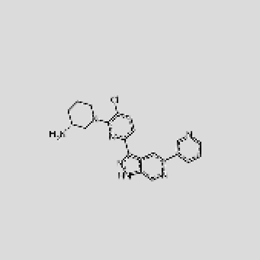 N[C@@H]1CCCN(c2nc(-c3n[nH]c4cnc(-c5cccnc5)cc34)ccc2Cl)C1